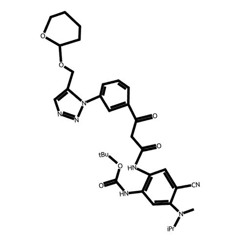 CC(C)N(C)c1cc(NC(=O)OC(C)(C)C)c(NC(=O)CC(=O)c2cccc(-n3nncc3COC3CCCCO3)c2)cc1C#N